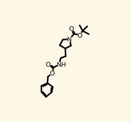 CC(C)(C)OC(=O)N1CCC(CCNC(=O)OCc2ccccc2)C1